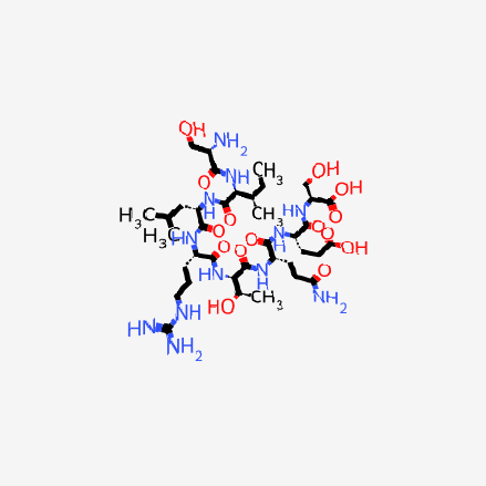 CC[C@H](C)[C@H](NC(=O)[C@@H](N)CO)C(=O)N[C@@H](CC(C)C)C(=O)N[C@@H](CCCNC(=N)N)C(=O)N[C@H](C(=O)N[C@@H](CCC(N)=O)C(=O)N[C@@H](CCC(=O)O)C(=O)N[C@@H](CO)C(=O)O)[C@@H](C)O